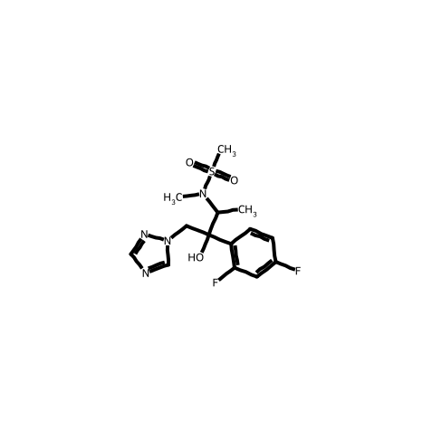 CC(N(C)S(C)(=O)=O)C(O)(Cn1cncn1)c1ccc(F)cc1F